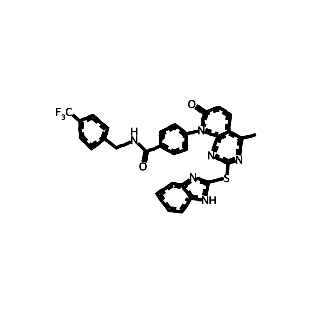 Cc1nc(Sc2nc3ccccc3[nH]2)nc2c1ccc(=O)n2-c1ccc(C(=O)NCc2ccc(C(F)(F)F)cc2)cc1